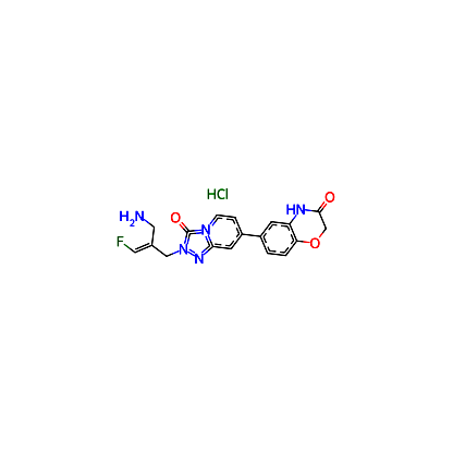 Cl.NC/C(=C\F)Cn1nc2cc(-c3ccc4c(c3)NC(=O)CO4)ccn2c1=O